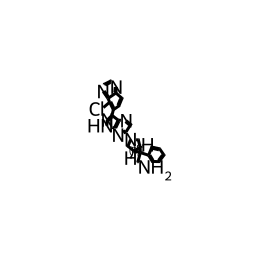 NCC1(c2ccccc2)[C@@H]2CN(c3cnc4c(-c5ccc6nccnc6c5Cl)n[nH]c4n3)C[C@@H]21